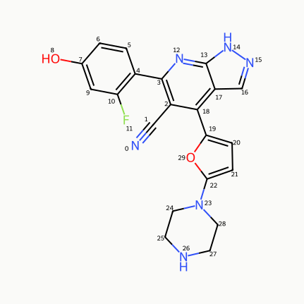 N#Cc1c(-c2ccc(O)cc2F)nc2[nH]ncc2c1-c1ccc(N2CCNCC2)o1